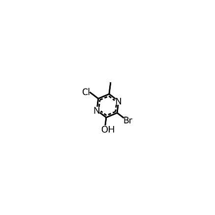 Cc1nc(Br)c(O)nc1Cl